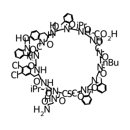 CCCC[C@H]1C(=O)N(C)CC(=O)N[C@@H](CC(=O)O)C(=O)N[C@@H](C(C)C)C(=O)N(C)[C@@H](Cc2ccccc2)C(=O)N[C@H]2Cc3ccc(O)cc3N(CC(=O)N[C@@H](Cc3c[nH]c4ccccc34)C(=O)NC(Cc3ccc(Cl)c(Cl)c3)C(=O)N[C@@H](CC(C)C)C(=O)N[C@H](C(=O)NCC(N)=O)CSCC(=O)N[C@@H](Cc3ccccc3)C(=O)N(C)[C@@H](Cc3ccccc3)C(=O)N1C)C2=O